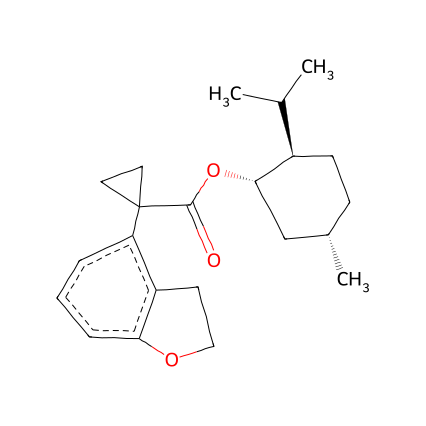 CC(C)[C@H]1CC[C@H](C)C[C@@H]1OC(=O)C1(c2cccc3c2CCO3)CC1